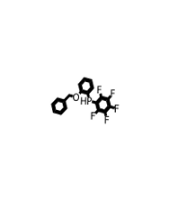 Fc1c(F)c(F)c(Pc2ccccc2OCc2ccccc2)c(F)c1F